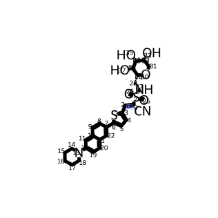 N#C/C(=C\c1ccc(-c2ccc3cc(N4CCCCC4)ccc3c2)s1)S(=O)(=O)NC[C@H]1OC[C@H](O)[C@@H](O)[C@@H]1O